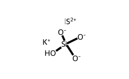 [K+].[O-][Si]([O-])([O-])O.[S+2]